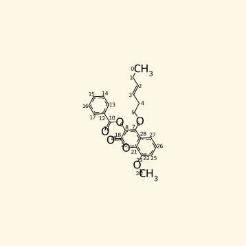 CCC=CCCOc1c(OC(=O)c2ccccc2)c(=O)oc2c(OC)cccc12